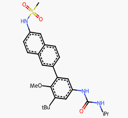 COc1c(-c2ccc3cc(NS(C)(=O)=O)ccc3c2)cc(NC(=O)NC(C)C)cc1C(C)(C)C